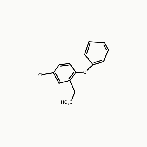 O=C(O)Cc1cc(Cl)ccc1Oc1ccccc1